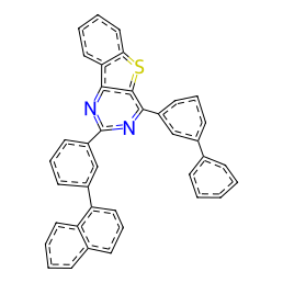 c1ccc(-c2cccc(-c3nc(-c4cccc(-c5cccc6ccccc56)c4)nc4c3sc3ccccc34)c2)cc1